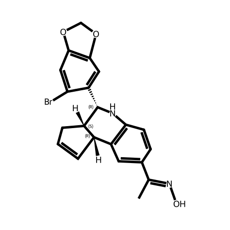 CC(=NO)c1ccc2c(c1)[C@@H]1C=CC[C@@H]1[C@H](c1cc3c(cc1Br)OCO3)N2